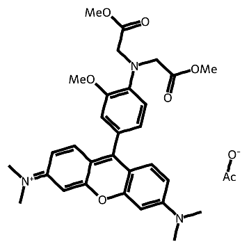 CC(=O)[O-].COC(=O)CN(CC(=O)OC)c1ccc(-c2c3ccc(=[N+](C)C)cc-3oc3cc(N(C)C)ccc23)cc1OC